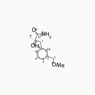 COCc1cccc(C[C@@](C)(O)C(N)=O)c1